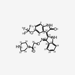 O=C1Nc2ccc(OC(F)(F)F)cc2/C1=C1/Nc2ccccc2/C1=N\OCC(=O)N1CCNCC1